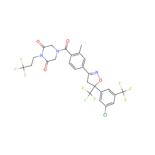 Cc1cc(C2=NOC(c3cc(Cl)cc(C(F)(F)F)c3)(C(F)(F)F)C2)ccc1C(=O)N1CC(=O)N(CCC(F)(F)F)C(=O)C1